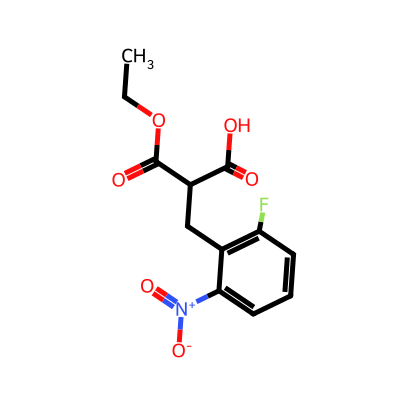 CCOC(=O)C(Cc1c(F)cccc1[N+](=O)[O-])C(=O)O